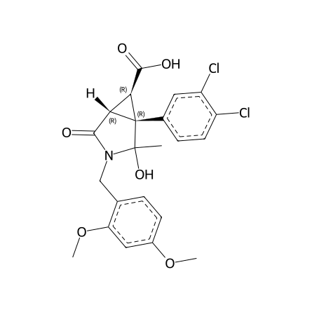 COc1ccc(CN2C(=O)[C@@H]3[C@@H](C(=O)O)[C@]3(c3ccc(Cl)c(Cl)c3)C2(C)O)c(OC)c1